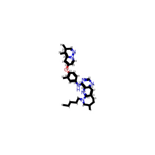 CCCCCN1CC(C)CCc2cc3ncnc(Nc4ccc(OC5=CC6=C(C)C(C)C=NN6C=C5)c(C)c4)c3nc21